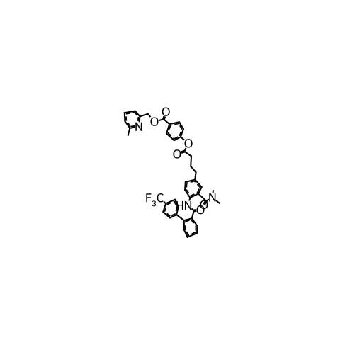 Cc1cccc(COC(=O)c2ccc(OC(=O)CCCc3ccc(NC(=O)c4ccccc4-c4ccc(C(F)(F)F)cc4)c(C(=O)N(C)C)c3)cc2)n1